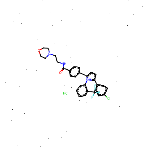 Cl.O=C(NCCN1CCOCC1)c1ccc(-c2ccc(-c3ccc(Cl)cc3)n2-c2ccccc2C(F)(F)F)cc1